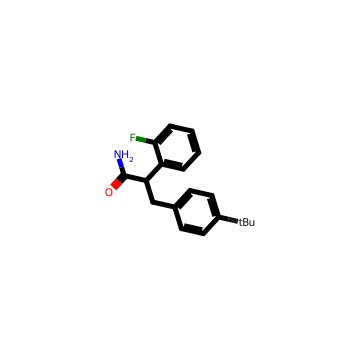 CC(C)(C)c1ccc(CC(C(N)=O)c2ccccc2F)cc1